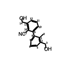 Cc1c(CO)cccc1-c1cccc(CO)c1C#N